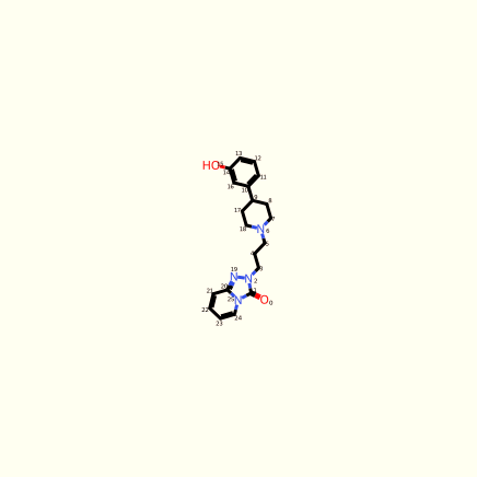 O=c1n(CCCN2CCC(c3cccc(O)c3)CC2)nc2ccccn12